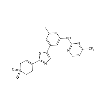 Cc1cc(Nc2nccc(C(F)(F)F)n2)cc(-c2cnc(C3=CCS(=O)(=O)CC3)s2)c1